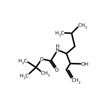 C=CC(O)C(CC(C)C)NC(=O)OC(C)(C)C